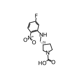 O=C(O)N1CC[C@@H](CNc2cc(F)ccc2[N+](=O)[O-])C1